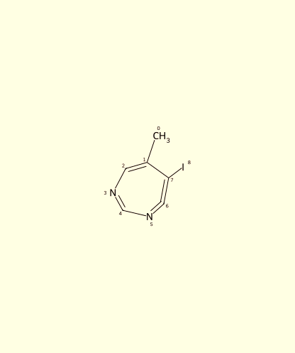 CC1=CN=CN=C=C1I